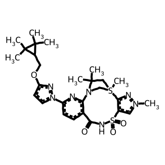 Cn1cc2c(n1)S1(C)CN(c3nc(-n4ccc(OCC5C(C)(C)C5(C)C)n4)ccc3C(=O)NS2(=O)=O)C(C)(C)C1